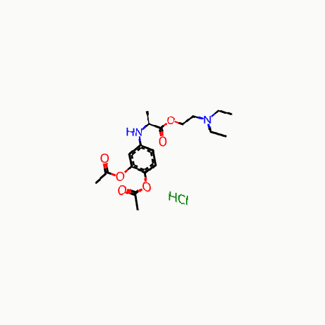 CCN(CC)CCOC(=O)[C@H](C)Nc1ccc(OC(C)=O)c(OC(C)=O)c1.Cl